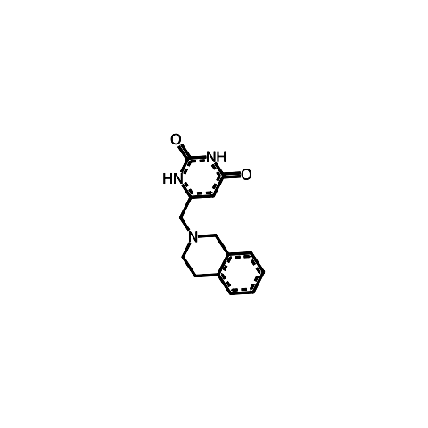 O=c1cc(CN2CCc3ccccc3C2)[nH]c(=O)[nH]1